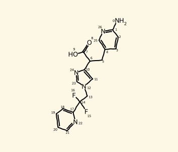 Nc1ccc(CC(C(=O)O)c2cn(CC(F)(F)c3ccccn3)cn2)cn1